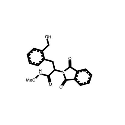 CONC(=O)C(Cc1ccccc1CO)N1C(=O)c2ccccc2C1=O